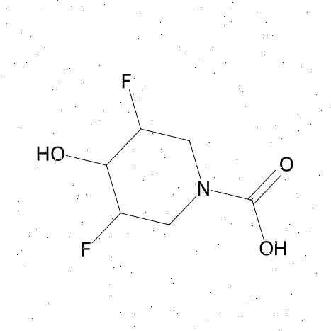 O=C(O)N1CC(F)C(O)C(F)C1